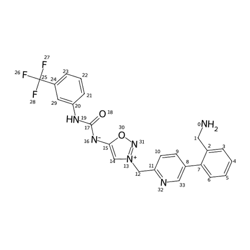 NCc1ccccc1-c1ccc(C[n+]2cc([N-]C(=O)Nc3cccc(C(F)(F)F)c3)on2)nc1